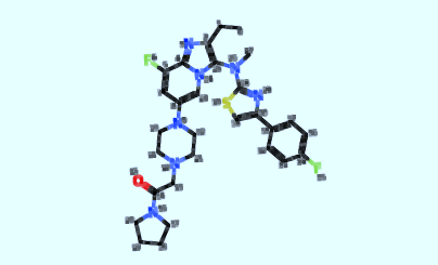 CCc1nc2c(F)cc(N3CCN(CC(=O)N4CCCC4)CC3)cn2c1N(C)c1nc(-c2ccc(F)cc2)cs1